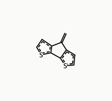 C=C1c2ccsc2-c2sccc21